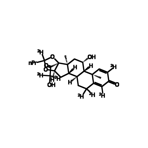 [2H]C1=C[C@@]2(C)C(=C([2H])C1=O)C([2H])([2H])C[C@@H]1[C@@H]2[C@@H](O)C[C@@]2(C)[C@H]1C[C@H]1OC([2H])(CCC)O[C@]12C(=O)C([2H])([2H])O